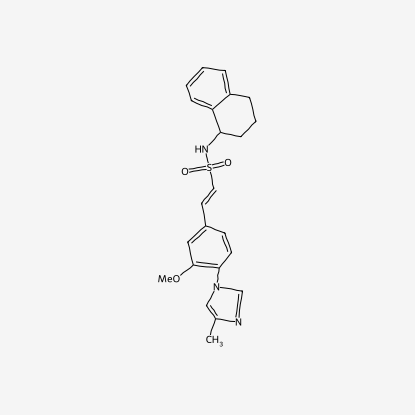 COc1cc(/C=C/S(=O)(=O)NC2CCCc3ccccc32)ccc1-n1cnc(C)c1